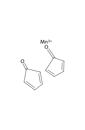 O=C1C=CC=C1.O=C1C=CC=C1.[Mn+3]